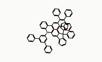 c1ccc(-c2cc(-c3ccccc3)cc(N(c3ccc4c(c3)-c3ccccc3C4(c3ccccc3)c3ccccc3)c3ccccc3-c3ccc4c(c3)c(-c3ccccc3)c(-c3ccccc3)c3ccccc34)c2)cc1